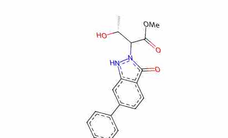 COC(=O)C([C@@H](C)O)n1[nH]c2cc(-c3ccccc3)ccc2c1=O